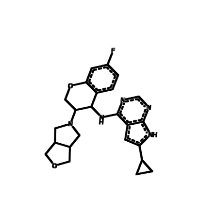 Fc1ccc2c(c1)OCC(N1CC3COCC3C1)C2Nc1ncnc2[nH]c(C3CC3)cc12